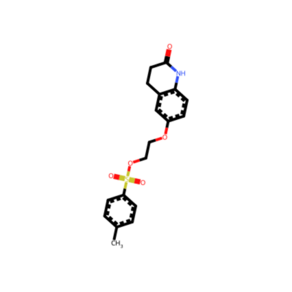 Cc1ccc(S(=O)(=O)OCCOc2ccc3c(c2)CCC(=O)N3)cc1